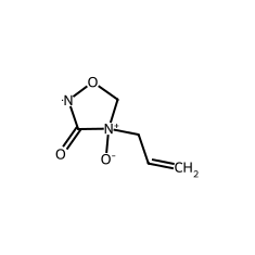 C=CC[N+]1([O-])CO[N]C1=O